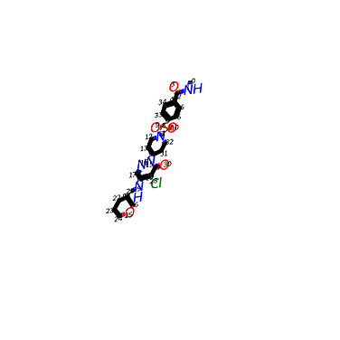 CNC(=O)c1ccc(S(=O)(=O)N2CCC(n3ncc(NC[C@H]4CCCOC4)c(Cl)c3=O)CC2)cc1